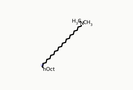 CCCCCCCC/C=C\CCCCCCCCCCCCCCCCCCCN(C)C